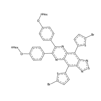 CCCCCCOc1ccc(-c2nc3c(-c4ccc(Br)s4)c4nsnc4c(-c4ccc(Br)s4)c3nc2-c2ccc(OCCCCCC)cc2)cc1